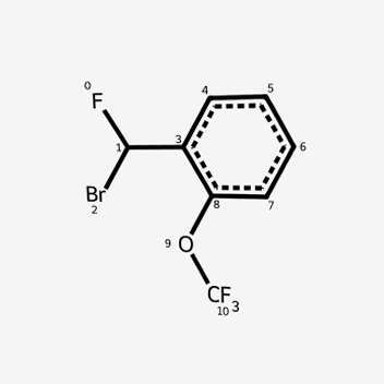 FC(Br)c1ccccc1OC(F)(F)F